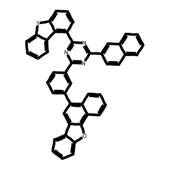 c1cc(-c2nc(-c3ccc4ccccc4c3)nc(-c3cccc4sc5ccccc5c34)n2)cc(-c2cc3c4ccccc4oc3c3ccccc23)c1